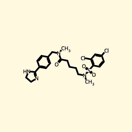 CN(Cc1ccc(C2=NCCN2)cc1)C(=O)CCCCN(C)S(=O)(=O)c1ccc(Cl)cc1Cl